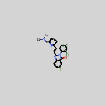 CCN(CC)Cc1cccc(C=Cc2nc3ccc(F)cc3c(=O)n2-c2ccccc2Cl)n1.Cl